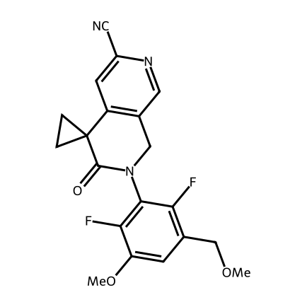 COCc1cc(OC)c(F)c(N2Cc3cnc(C#N)cc3C3(CC3)C2=O)c1F